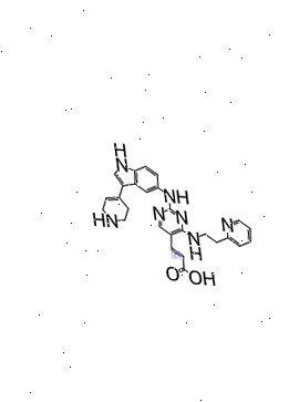 O=C(O)/C=C/c1cnc(Nc2ccc3[nH]cc(C4=CCNCC4)c3c2)nc1NCCc1ccccn1